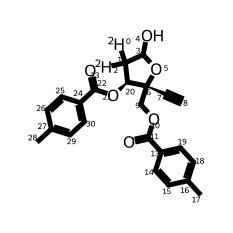 [2H]C1([2H])C(O)O[C@](C#C)(COC(=O)c2ccc(C)cc2)[C@H]1OC(=O)c1ccc(C)cc1